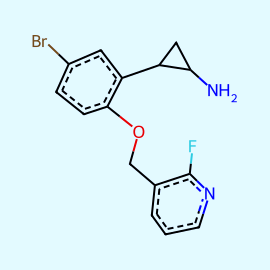 NC1CC1c1cc(Br)ccc1OCc1cccnc1F